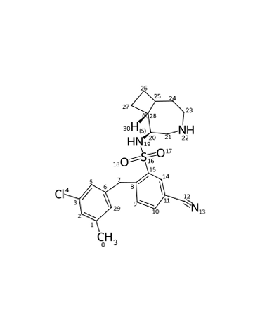 Cc1cc(Cl)cc(Cc2ccc(C#N)cc2S(=O)(=O)N[C@@H]2CNCCC3CC[C@H]32)c1